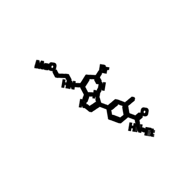 CCNC(=O)c1ccc(-c2cnc3c(NCCOC)cc(Br)nn23)cc1C